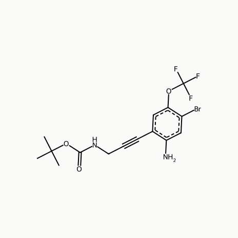 CC(C)(C)OC(=O)NCC#Cc1cc(OC(F)(F)F)c(Br)cc1N